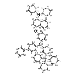 c1ccc(-c2ccc(N(c3ccc4c(c3)Oc3ccc(N(c5ccccc5)c5ccccc5)c5cccc-4c35)c3ccc4c(c3)C(c3ccccc3)(c3ccccc3)c3ccccc3-4)cc2)cc1